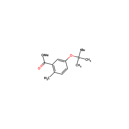 COC(=O)c1cc(O[Si](C)(C)C(C)(C)C)ccc1C